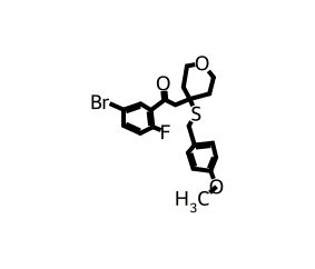 COc1ccc(CSC2(CC(=O)c3cc(Br)ccc3F)CCOCC2)cc1